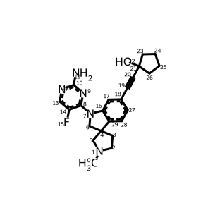 CN1CCC2(C1)CN(c1nc(N)ncc1F)c1cc(C#CC3(O)CCCC3)ccc12